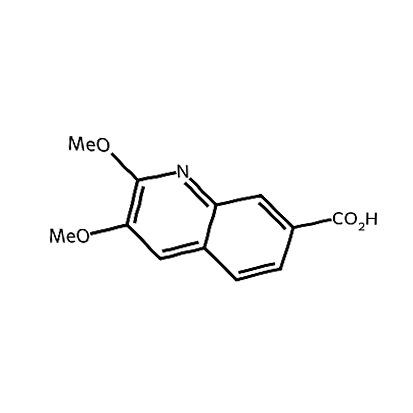 COc1cc2ccc(C(=O)O)cc2nc1OC